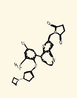 Cc1cc(Cl)cc(-c2ccnc3cc(CN4C(=O)CCC4=O)sc23)c1O[C@H]1CC[C@H](N2CCC2)C1